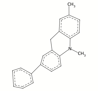 Cc1ccc2c(c1)Cc1cc(-c3ccccc3)ccc1N2C